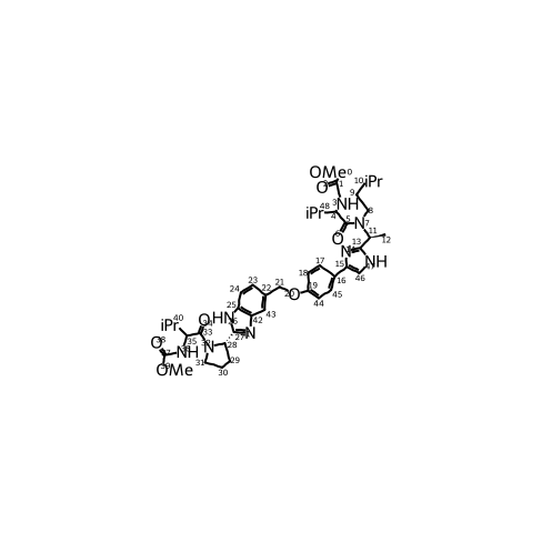 COC(=O)NC(C(=O)N(CCC(C)C)[C@@H](C)c1nc(-c2ccc(OCc3ccc4[nH]c([C@@H]5CCCN5C(=O)C(NC(=O)OC)C(C)C)nc4c3)cc2)c[nH]1)C(C)C